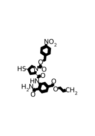 C=CCOC(=O)c1ccc(C(N)=O)c(NC(=O)[C@@H]2C[C@H](S)CN2C(=O)OCc2ccc([N+](=O)[O-])cc2)c1